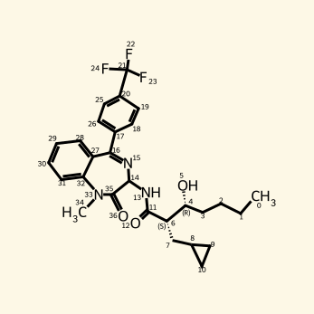 CCCC[C@@H](O)[C@H](CC1CC1)C(=O)NC1N=C(c2ccc(C(F)(F)F)cc2)c2ccccc2N(C)C1=O